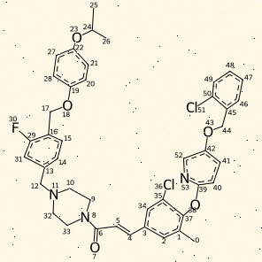 Cc1cc(C=CC(=O)N2CCN(Cc3ccc(COc4ccc(OC(C)C)cc4)c(F)c3)CC2)cc(Cl)c1Oc1ccc(OCc2ccccc2Cl)cn1